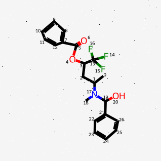 CC(CC(OC(=O)c1ccccc1)C(F)(F)F)N(C)C(O)c1ccccc1